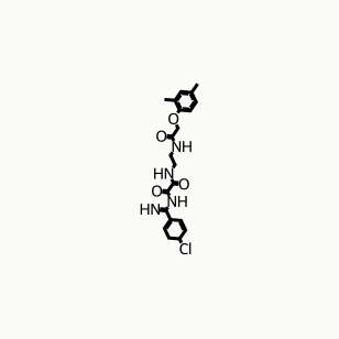 Cc1ccc(OCC(=O)NCCNC(=O)C(=O)NC(=N)C2=CCC(Cl)C=C2)c(C)c1